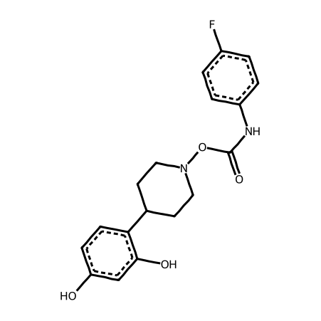 O=C(Nc1ccc(F)cc1)ON1CCC(c2ccc(O)cc2O)CC1